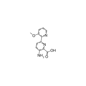 COc1cccnc1-c1ccc(N)c(C(=O)O)n1